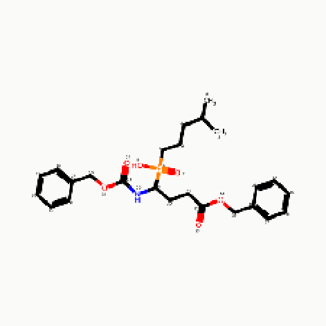 CC(C)CCCP(=O)(O)C(CCC(=O)OCc1ccccc1)NC(=O)OCc1ccccc1